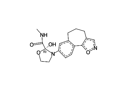 CNC(=O)[C@]1(O)OCCN1c1ccc2c(c1)CCCc1cnoc1-2